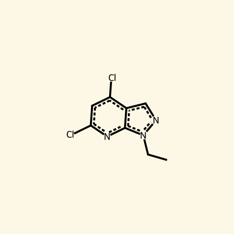 CCn1ncc2c(Cl)cc(Cl)nc21